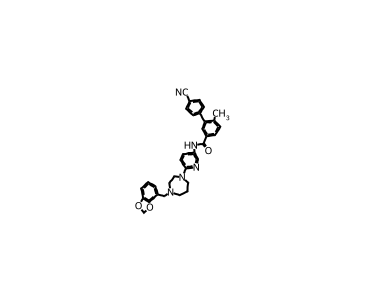 Cc1ccc(C(=O)Nc2ccc(N3CCCN(Cc4cccc5c4OCO5)CC3)nc2)cc1-c1ccc(C#N)cc1